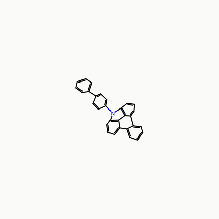 c1ccc(-c2ccc(-n3c4cccc5c6ccccc6c6cccc3c6c54)cc2)cc1